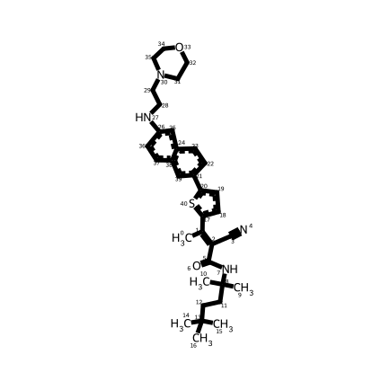 C/C(=C(/C#N)C(=O)NC(C)(C)CCC(C)(C)C)c1ccc(-c2ccc3cc(NCCN4CCOCC4)ccc3c2)s1